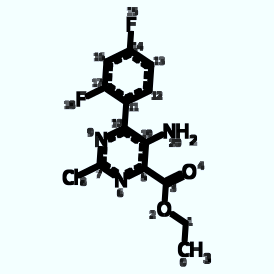 CCOC(=O)c1nc(Cl)nc(-c2ccc(F)cc2F)c1N